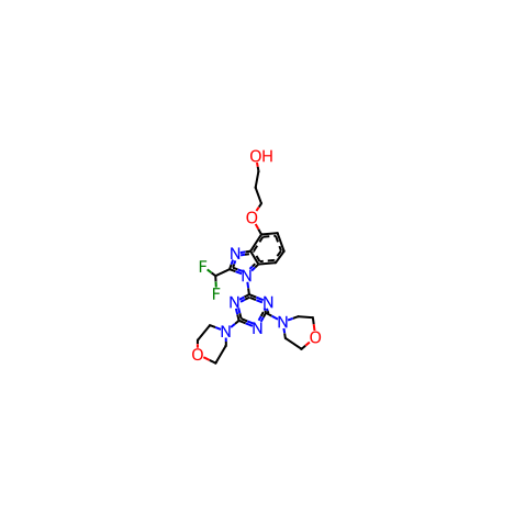 OCCCOc1cccc2c1nc(C(F)F)n2-c1nc(N2CCOCC2)nc(N2CCOCC2)n1